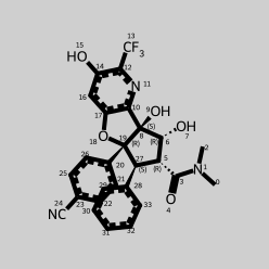 CN(C)C(=O)[C@H]1[C@@H](O)[C@@]2(O)c3nc(C(F)(F)F)c(O)cc3O[C@@]2(c2ccc(C#N)cc2)[C@@H]1c1ccccc1